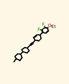 CCOc1ccc(C2C=CC(C#CC3CCC(C4CCC(C)CC4)CC3)CC2)c(F)c1F